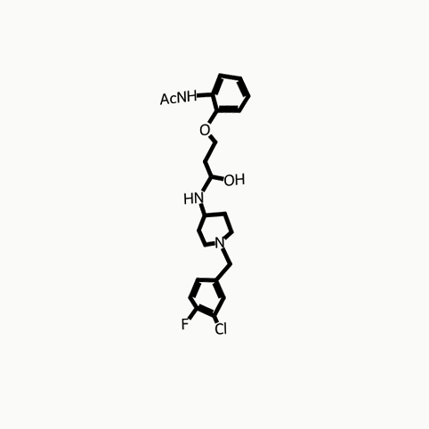 CC(=O)Nc1ccccc1OCCC(O)NC1CCN(Cc2ccc(F)c(Cl)c2)CC1